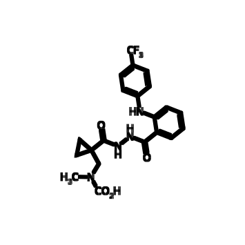 CN(CC1(C(=O)NNC(=O)c2ccccc2Nc2ccc(C(F)(F)F)cc2)CC1)C(=O)O